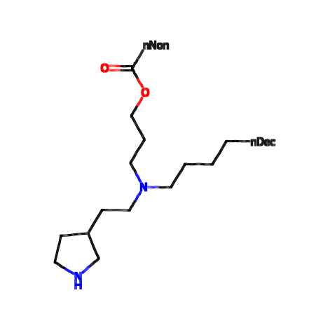 CCCCCCCCCCCCCCN(CCCOC(=O)CCCCCCCCC)CCC1CCNC1